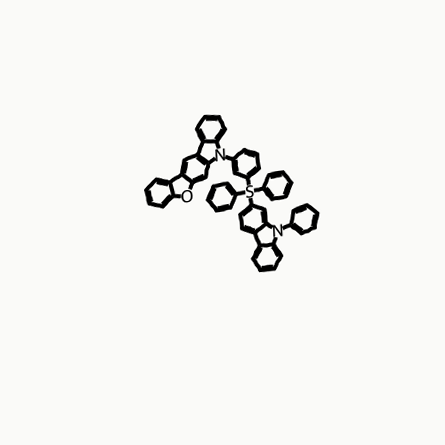 c1ccc(-n2c3ccccc3c3ccc(S(c4ccccc4)(c4ccccc4)c4cccc(-n5c6ccccc6c6cc7c(cc65)oc5ccccc57)c4)cc32)cc1